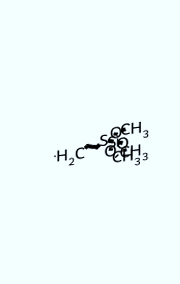 [CH2]CCS[Si](OC)(OC)OC